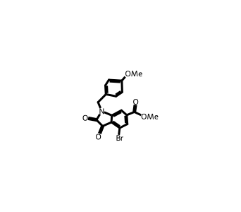 COC(=O)c1cc(Br)c2c(c1)N(Cc1ccc(OC)cc1)C(=O)C2=O